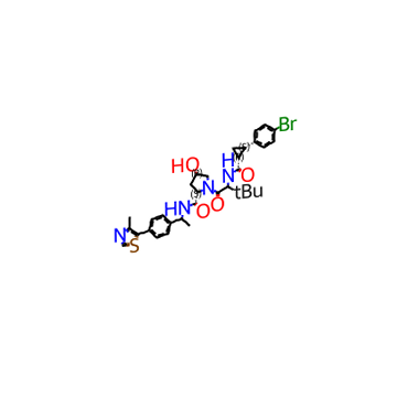 Cc1ncsc1-c1ccc(C(C)NC(=O)[C@@H]2C[C@@H](O)CN2C(=O)C(NC(=O)[C@@H]2C[C@@H]2c2ccc(Br)cc2)C(C)(C)C)cc1